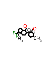 C[C@H]1CC[C@](C)(C2CC[C@]3(C)C(=C(F)F)CCC3C2C=O)[C@@H](C=O)C1